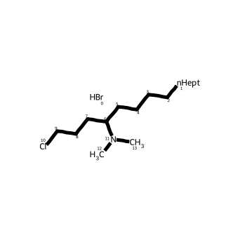 Br.CCCCCCCCCCCC(CCCCl)N(C)C